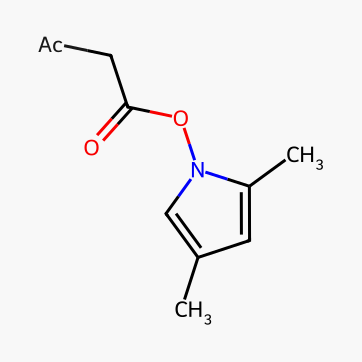 CC(=O)CC(=O)On1cc(C)cc1C